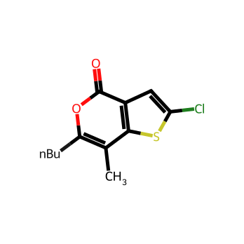 CCCCc1oc(=O)c2cc(Cl)sc2c1C